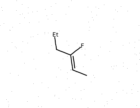 C/[C]=C(\F)CCC